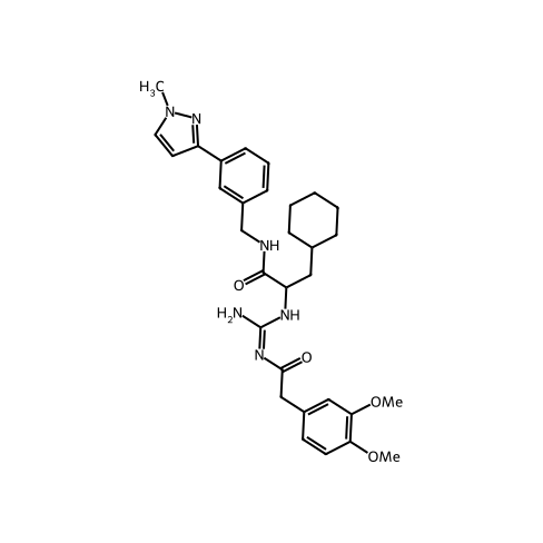 COc1ccc(CC(=O)N=C(N)NC(CC2CCCCC2)C(=O)NCc2cccc(-c3ccn(C)n3)c2)cc1OC